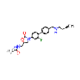 C#CCCNCc1ccc(-c2ccc(N3CC(CNC(C)=O)OC3=O)cc2F)cc1